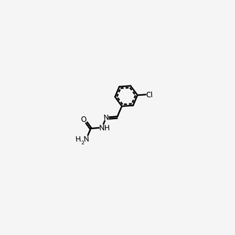 NC(=O)NN=Cc1cccc(Cl)c1